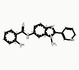 Cn1c(C2=CNCC=C2)nc2ccc(NC(=O)c3ccccc3O)cc21